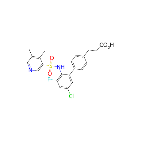 Cc1cncc(S(=O)(=O)Nc2c(F)cc(Cl)cc2-c2ccc(CCC(=O)O)cc2)c1C